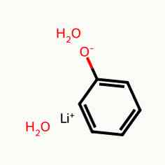 O.O.[Li+].[O-]c1ccccc1